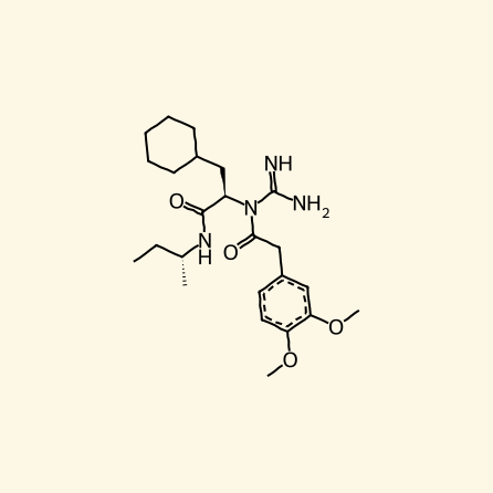 CC[C@@H](C)NC(=O)[C@@H](CC1CCCCC1)N(C(=N)N)C(=O)Cc1ccc(OC)c(OC)c1